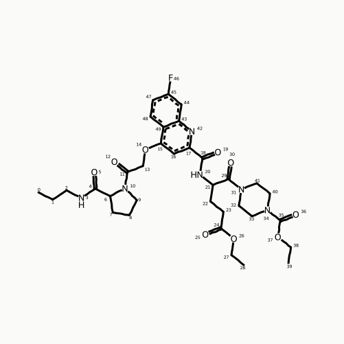 CCCNC(=O)C1CCCN1C(=O)COc1cc(C(=O)NC(CCC(=O)OCC)C(=O)N2CCN(C(=O)OCC)CC2)nc2cc(F)ccc12